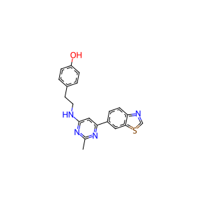 Cc1nc(NCCc2ccc(O)cc2)cc(-c2ccc3ncsc3c2)n1